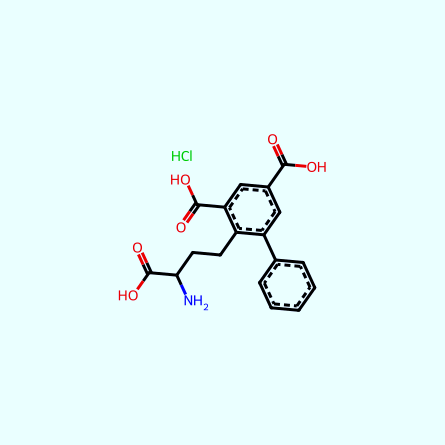 Cl.NC(CCc1c(C(=O)O)cc(C(=O)O)cc1-c1ccccc1)C(=O)O